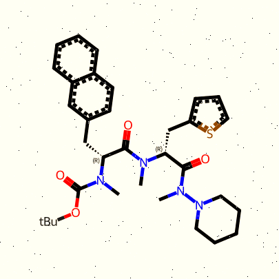 CN(C(=O)OC(C)(C)C)[C@H](Cc1ccc2ccccc2c1)C(=O)N(C)[C@H](Cc1cccs1)C(=O)N(C)N1CCCCC1